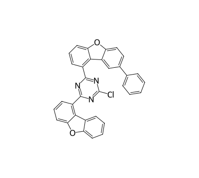 Clc1nc(-c2cccc3oc4ccccc4c23)nc(-c2cccc3oc4ccc(-c5ccccc5)cc4c23)n1